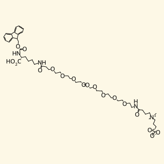 C[N+](C)(CCCC(=O)NCCOCCOCCOCCOCOOCCOCCOCCOCCC(=O)NCCCC[C@@H](NC(=O)OCC1c2ccccc2-c2ccccc21)C(=O)O)CCCS(=O)(=O)[O-]